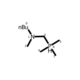 CCCCN(C)C[PH](C)(C)C